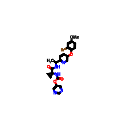 COc1ccc(Oc2ccc(C(C)NC(=O)C3(NC(=O)Oc4cncnc4)CC3)nc2)c(Br)c1